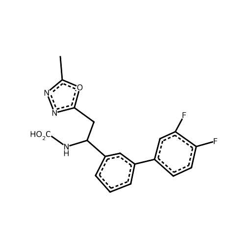 Cc1nnc(CC(NC(=O)O)c2cccc(-c3ccc(F)c(F)c3)c2)o1